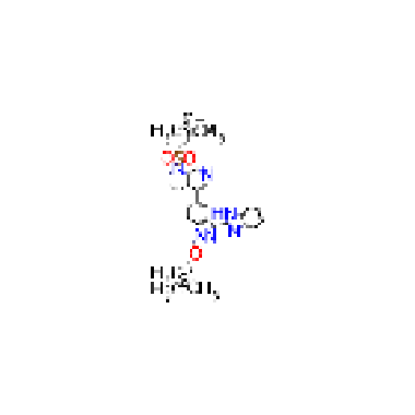 C[Si](C)(C)CCOCn1nc(-c2nc3ccccc3[nH]2)c2cc(C3=CN=CC4C3CCCN4S(=O)(=O)CC[Si](C)(C)C)ccc21